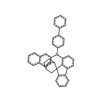 c1ccc(-c2ccc(N(c3ccc4ccccc4c3)c3cccc4c3C3(CC5CCC3C5)c3ccccc3-4)cc2)cc1